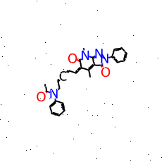 CC(=O)N(CC=C=CC=c1c(C)c2c(n(C)c1=O)=NN(c1ccccc1)C2=O)c1ccccc1